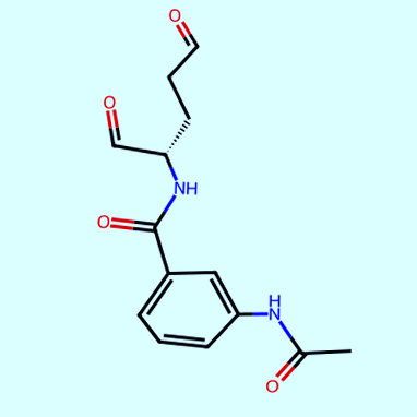 CC(=O)Nc1cccc(C(=O)N[C@H](C=O)CCC=O)c1